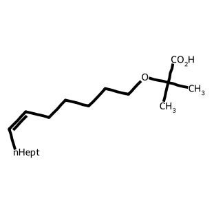 CCCCCCC/C=C\CCCCCOC(C)(C)C(=O)O